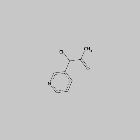 CC(=O)C(Cl)c1cccnc1